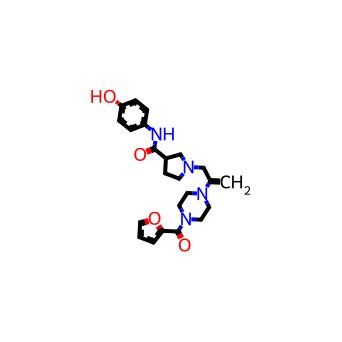 C=C(CN1CCC(C(=O)Nc2ccc(O)cc2)C1)N1CCN(C(=O)c2ccco2)CC1